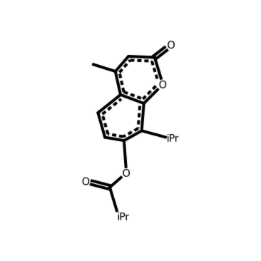 Cc1cc(=O)oc2c(C(C)C)c(OC(=O)C(C)C)ccc12